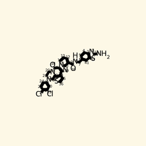 Nc1nc2ccc(CNC(=O)c3cccn4c(C(=O)N5CCN(c6ccc(Cl)c(Cl)c6)CC5)c(-c5ccsc5)nc34)cc2s1